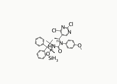 COc1ccc(N(C(=O)N[C@](C)(O[SiH3])C(c2ccccc2)(c2ccccc2)C(C)(C)C)[C@@H](C)c2cnc(Cl)nc2Cl)cc1